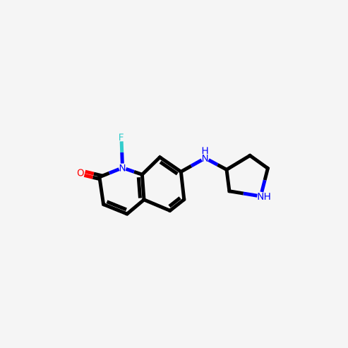 O=c1ccc2ccc(NC3CCNC3)cc2n1F